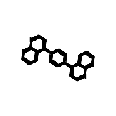 C1=CN(c2ccnc3ccccc23)C=CN1c1ccnc2ccccc12